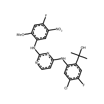 COc1cc(F)c([N+](=O)[O-])cc1Nc1nccc(Nc2cc(Cl)c(F)cc2C(C)(C)O)n1